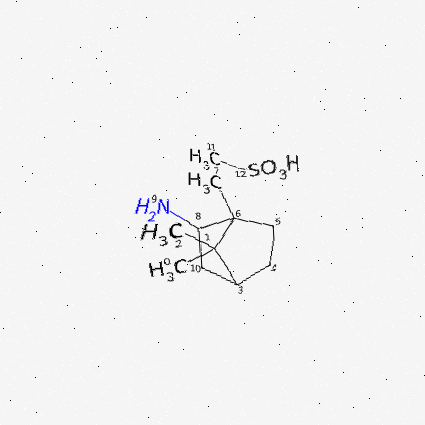 CC1(C)C2CCC1(C)C(N)C2.CS(=O)(=O)O